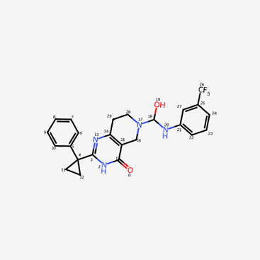 O=c1[nH]c(C2(c3ccccc3)CC2)nc2c1CN(C(O)Nc1cccc(C(F)(F)F)c1)CC2